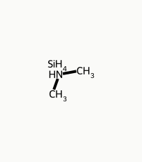 CNC.[SiH4]